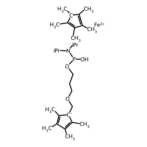 Cc1c(C)c(C)[c-](C)c1C.Cc1c(C)c(C)[c-](COCCCOP(O)N(C(C)C)C(C)C)c1C.[Fe+2]